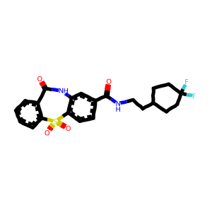 O=C(NCCC1CCC(F)(F)CC1)c1ccc2c(c1)NC(=O)c1ccccc1S2(=O)=O